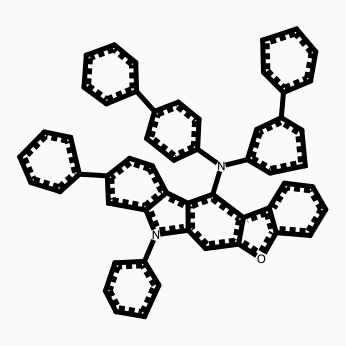 c1ccc(-c2ccc(N(c3cccc(-c4ccccc4)c3)c3c4c(cc5c3c3ccc(-c6ccccc6)cc3n5-c3ccccc3)oc3ccccc34)cc2)cc1